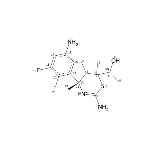 CC1[C@@](C)([C@@H](C)O)SC(N)=N[C@]1(C)c1cc(N)cc(F)c1F